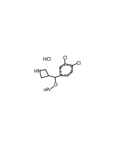 CCCOC(c1ccc(Cl)c(Cl)c1)C1CNC1.Cl